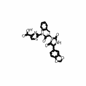 O=C(O)c1csc(NC(=O)[C@H](Cc2ccccc2)N2C(=O)NC(c3ccc4c(c3)OCO4)C2=O)n1